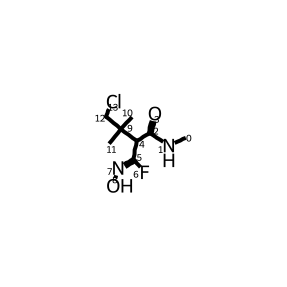 CNC(=O)C(C(F)=NO)C(C)(C)CCl